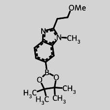 COCCc1nc2ccc(B3OC(C)(C)C(C)(C)O3)cc2n1C